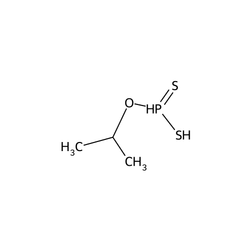 CC(C)O[PH](=S)S